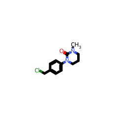 CN1CCCN(c2ccc(CCl)cc2)C1=O